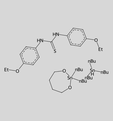 CCC[CH2][SnH]([CH2]CCC)[CH2]CCC.CCC[CH2][Sn]1([CH2]CCC)[O]CCCC[O]1.CCOc1ccc(NC(=S)Nc2ccc(OCC)cc2)cc1